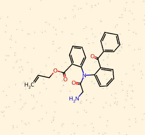 C=CCOC(=O)c1ccccc1N(C(=O)CN)c1ccccc1C(=O)c1ccccc1